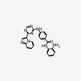 Nc1ccccc1NC(=O)c1ccc(Nc2ncnc(-c3cnc4ccccn34)n2)cc1